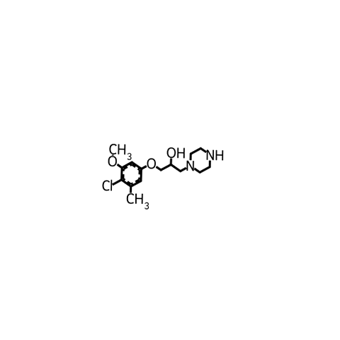 COc1cc(OCC(O)CN2CCNCC2)cc(C)c1Cl